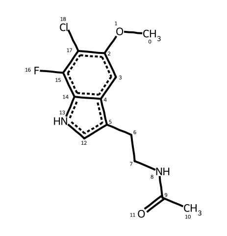 COc1cc2c(CCNC(C)=O)c[nH]c2c(F)c1Cl